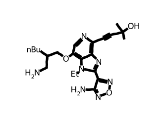 CCCCC(CN)COc1cnc(C#CC(C)(C)O)c2nc(-c3nonc3N)n(CC)c12